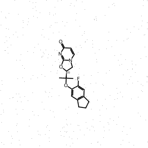 CC(C)(Oc1cc2c(cc1F)CCC2)[C@@H]1Cn2ccc(=O)nc2O1